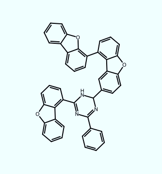 c1ccc(C2=NC(c3ccc4oc5cccc(-c6cccc7c6oc6ccccc67)c5c4c3)NC(c3cccc4oc5ccccc5c34)=N2)cc1